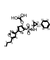 CCCc1cc(-c2ccc(S(=O)(=O)N[C@H]3C[C@@H]3c3ccccc3)s2)no1.O=C(O)O